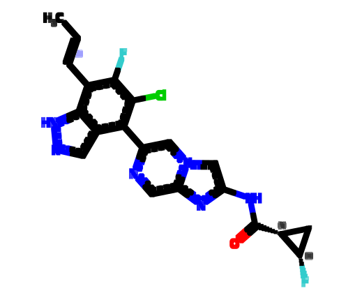 C/C=C/c1c(F)c(Cl)c(-c2cn3cc(NC(=O)[C@@H]4C[C@@H]4F)nc3cn2)c2cn[nH]c12